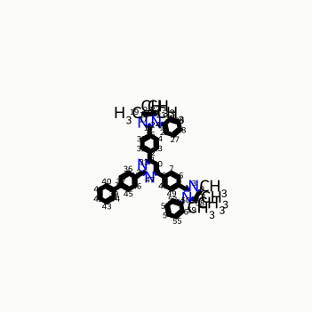 CC1(C)N=C(c2ccc(-c3cc(-c4ccc(C5=NC(C)(C)C(C)(C)N5c5ccccc5)cc4)nc(-c4ccc(-c5ccccc5)cc4)n3)cc2)N(c2ccccc2)C1(C)C